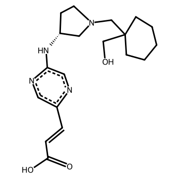 O=C(O)/C=C/c1cnc(N[C@@H]2CCN(CC3(CO)CCCCC3)C2)cn1